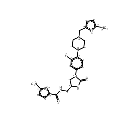 O=C(NC[C@H]1CN(c2ccc(N3CCN(Cc4ccc([N+](=O)[O-])o4)CC3)c(F)c2)C(=O)O1)c1ccc([N+](=O)[O-])s1